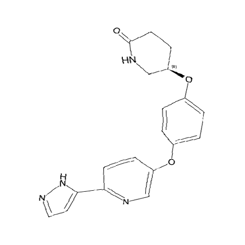 O=C1CC[C@@H](Oc2ccc(Oc3ccc(-c4ccn[nH]4)nc3)cc2)CN1